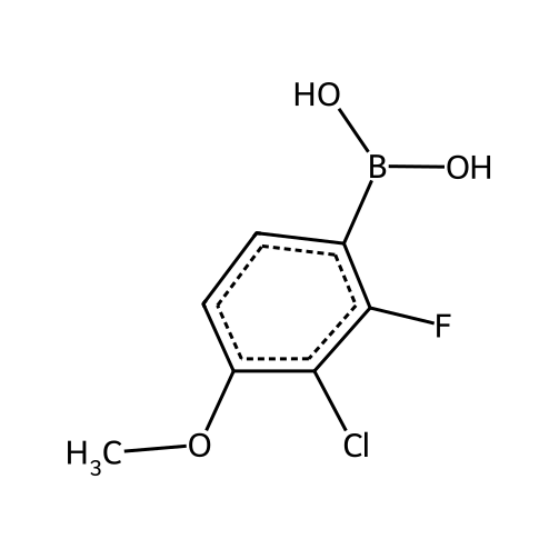 COc1ccc(B(O)O)c(F)c1Cl